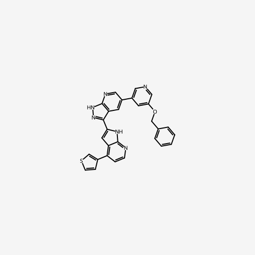 c1ccc(COc2cncc(-c3cnc4[nH]nc(-c5cc6c(-c7ccsc7)ccnc6[nH]5)c4c3)c2)cc1